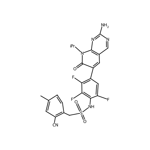 Cc1ccc(CS(=O)(=O)Nc2c(F)cc(-c3cc4cnc(N)nc4n(C(C)C)c3=O)c(F)c2F)c(C#N)c1